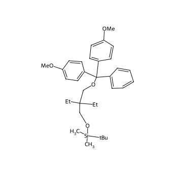 CCC(CC)(COC(c1ccccc1)(c1ccc(OC)cc1)c1ccc(OC)cc1)CO[Si](C)(C)C(C)(C)C